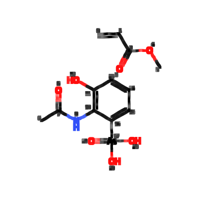 C=CC(=O)OC.CC(=O)Nc1c(O)cccc1[As](=O)(O)O